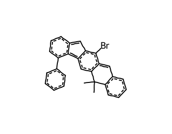 CC1(C)c2ccccc2C=c2c1cc1c(c2Br)C=c2cccc(-c3ccccc3)c2=1